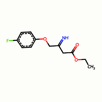 CCOC(=O)CC(=N)COc1ccc(F)cc1